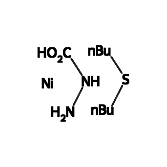 CCCCSCCCC.NNC(=O)O.[Ni]